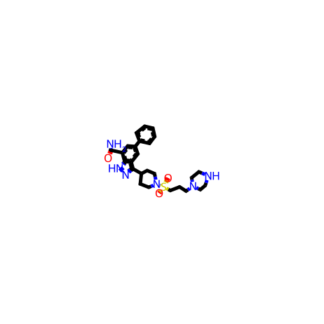 NC(=O)c1cc(-c2ccccc2)cc2c(C3CCN(S(=O)(=O)CCCN4CCNCC4)CC3)n[nH]c12